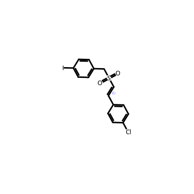 O=S(=O)(/C=C/c1ccc(Cl)cc1)Cc1ccc(I)cc1